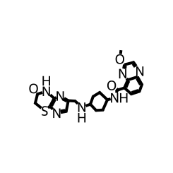 COc1cnc2cccc(C(=O)NC3CCC(NCc4cnc5c(n4)NC(=O)CS5)CC3)c2n1